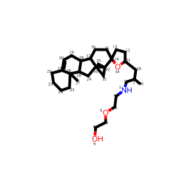 CC(CNCCOCCO)CC1CCC2(CCC3C4CC=C5CCCCC5(C)C4CC34CC24C)O1